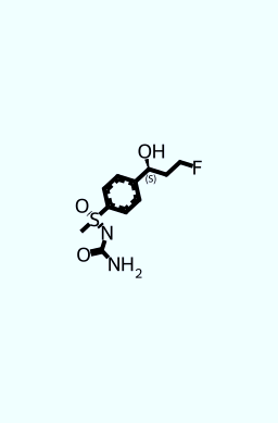 CS(=O)(=NC(N)=O)c1ccc([C@@H](O)CCF)cc1